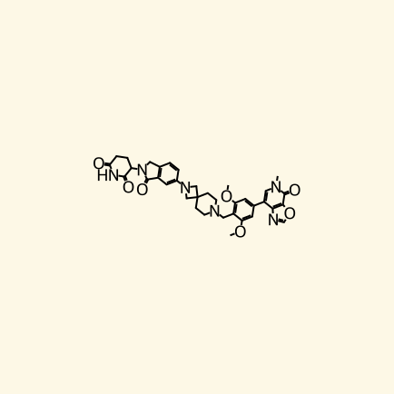 COc1cc(-c2cn(C)c(=O)c3ocnc23)cc(OC)c1CN1CCC2(CC1)CN(c1ccc3c(c1)C(=O)N(C1CCC(=O)NC1=O)C3)C2